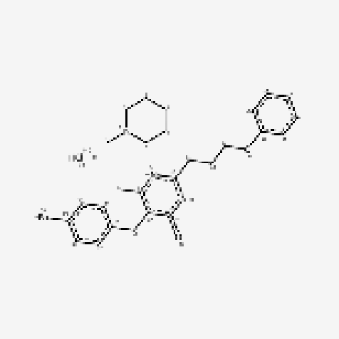 CN1CCCCC1.Cc1[nH]c(CCCOc2ccccc2)nc(=O)c1Cc1ccc(C(C)(C)C)cc1.Cl.Cl